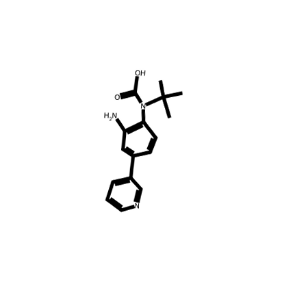 CC(C)(C)N(C(=O)O)c1ccc(-c2cccnc2)cc1N